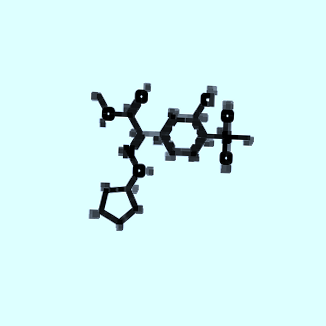 COC(=O)/C(=N/OC1CCCC1)c1ccc(S(C)(=O)=O)c(Cl)c1